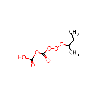 CCC(C)OOOC(=O)OC(=O)O